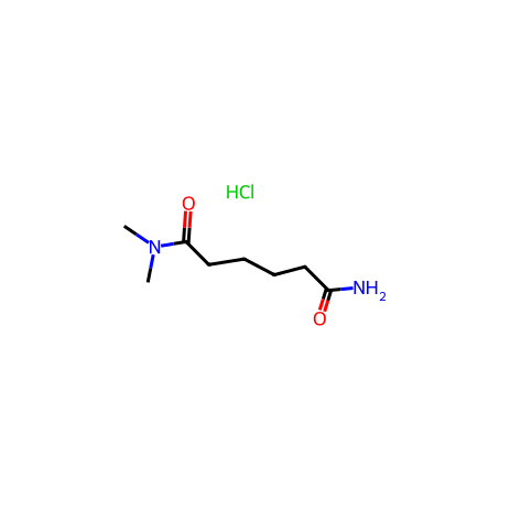 CN(C)C(=O)CCCCC(N)=O.Cl